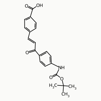 CC(C)(C)OC(=O)Nc1ccc(C(=O)/C=C/c2ccc(C(=O)O)cc2)cc1